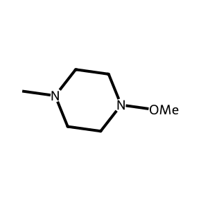 CON1CCN(C)CC1